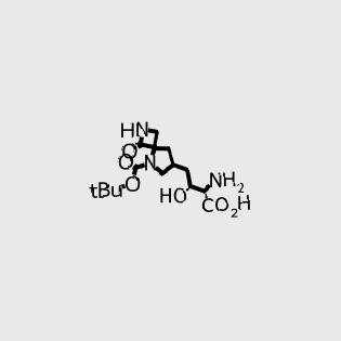 CC(C)(C)OC(=O)N1CC(C[C@@H](O)[C@H](N)C(=O)O)CC12CNC2=O